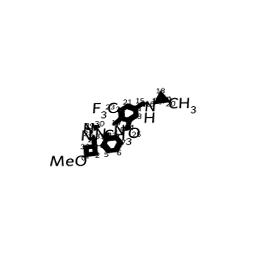 CO[C@H]1C[C@](c2cccc(N3Cc4c(cc(CN[C@@H]5C[C@H]5C)cc4C(F)(F)F)C3=O)c2)(c2nncn2C)C1